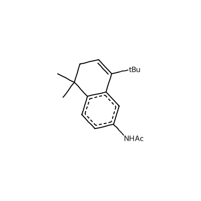 CC(=O)Nc1ccc2c(c1)C(C(C)(C)C)=CCC2(C)C